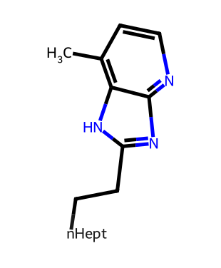 CCCCCCCCCc1nc2nccc(C)c2[nH]1